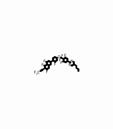 C=CCCc1cnc(-c2cc(F)c(C(F)(F)Oc3ccc(-c4cc(F)c5c(F)c(C#CC(F)(F)F)c(F)cc5c4)c(F)c3)c(F)c2)nc1